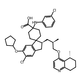 C[C@@H](COc1ccnc2c1[C@H](C)CCC2)C[C@H]1Cc2cc(Cl)c(OC3CCCC3)cc2C12CCC(Nc1cccc(Cl)c1)(C(=O)O)CC2